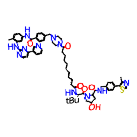 Cc1ccc(NC(=O)c2ccc(CN3CCN(C(=O)CCCCCCCCCC(=O)N[C@H](C(=O)N4CC(O)CC4C(=O)NCc4ccc(-c5scnc5C)cc4)C(C)(C)C)CC3)cc2)cc1Nc1nccc(-c2cccnc2)n1